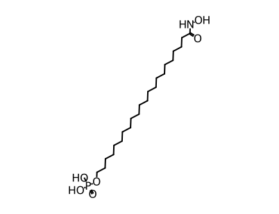 O=C(CCCCCCCCCCCCCCCCCCCCCOP(=O)(O)O)NO